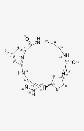 Cc1cc2nc(c1)C(=O)NCCCNC(=O)O[C@@H]1CC[C@@H](C1)c1cc(n[nH]1)N2